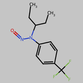 CCC(CC)N(N=O)c1ccc(C(F)(F)F)cc1